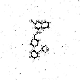 Clc1nc(NCc2ccc(-c3ccccc3-c3nnn[nH]3)cc2)c2ccccc2n1